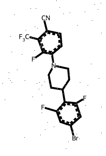 N#Cc1ccc(N2CCC(c3c(F)cc(Br)cc3F)CC2)c(F)c1C(F)(F)F